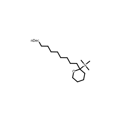 CCCCCCCCCCCCCCCCCCC1([Si](C)(C)C)CCCCO1